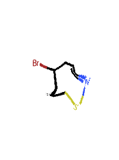 BrC1[C]SN=C1